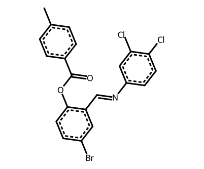 Cc1ccc(C(=O)Oc2ccc(Br)cc2/C=N/c2ccc(Cl)c(Cl)c2)cc1